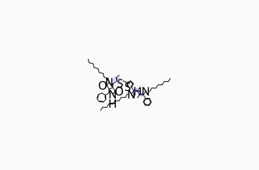 C/C=C(\SCc1ccc(/C(=C(C)/C(C)=C(\NCCCCCCCC)c2ccccc2)N(C)CCCCCCCCCC)s1)C1=C2C(=O)NC(C3=CC=CC=CC3)=C2C(=O)N1CCCCCCCCC